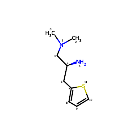 CN(C)C[C@@H](N)Cc1cccs1